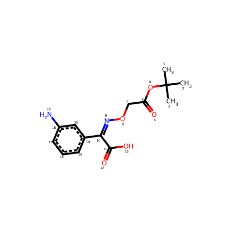 CC(C)(C)OC(=O)CON=C(C(=O)O)c1cccc(N)c1